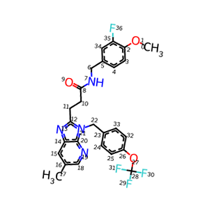 COc1ccc(CNC(=O)CCc2nc3cc(C)cnc3n2Cc2ccc(OC(F)(F)F)cc2)cc1F